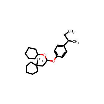 CCC(C)c1ccc(OC(CC2(C)CCCCC2)OC2CCCCC2)cc1